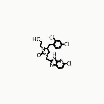 O=C1N(Cc2nc3ccc(Cl)nc3[nH]2)CC(Cc2ccc(Cl)cc2Cl)N1CCO